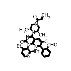 C=CC(=O)N1C[C@H](C)N(c2nc(=O)n(-c3c(CC)ccnc3C(C)C)c3nc(-c4ccccc4C=O)c(Cl)cc23)[C@@H](C)C1